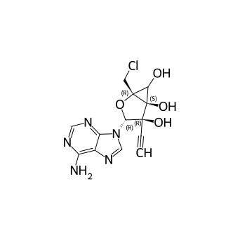 C#C[C@]1(O)[C@H](n2cnc3c(N)ncnc32)O[C@]2(CCl)C(O)[C@@]21O